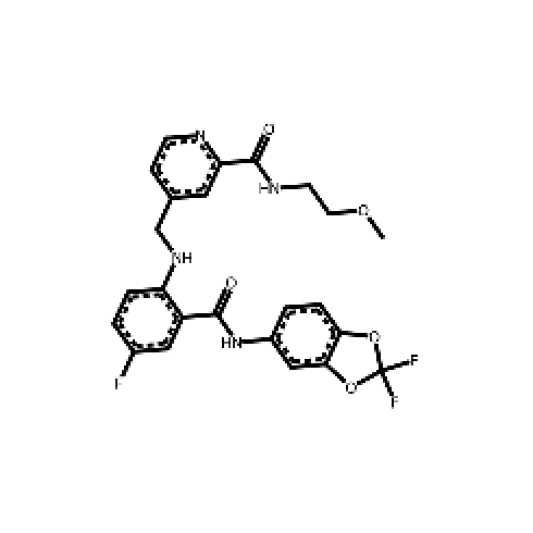 COCCNC(=O)c1cc(CNc2ccc(F)cc2C(=O)Nc2ccc3c(c2)OC(F)(F)O3)ccn1